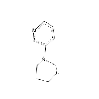 [CH]1CCCN(c2cccnc2)C1